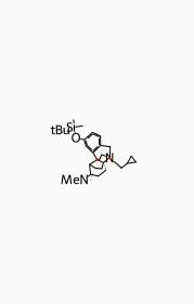 CNC1CC[C@]23C[C@H](C)C1C21CCN(CC2CC2)C3Cc2ccc(O[Si](C)(C)C(C)(C)C)cc21